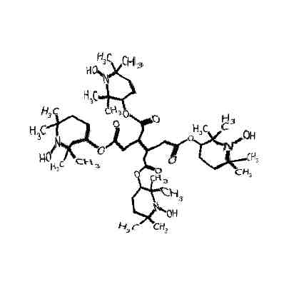 CC1(C)CCC(OC(=O)CC(C(=O)OC2CCC(C)(C)N(O)C2(C)C)C(CC(=O)OC2CCC(C)(C)N(O)C2(C)C)C(=O)OC2CCC(C)(C)N(O)C2(C)C)C(C)(C)N1O